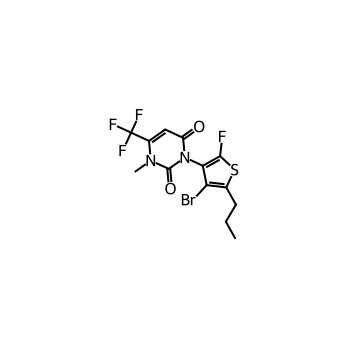 CCCc1sc(F)c(-n2c(=O)cc(C(F)(F)F)n(C)c2=O)c1Br